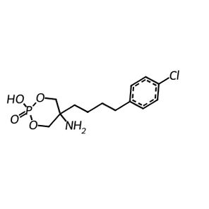 NC1(CCCCc2ccc(Cl)cc2)COP(=O)(O)OC1